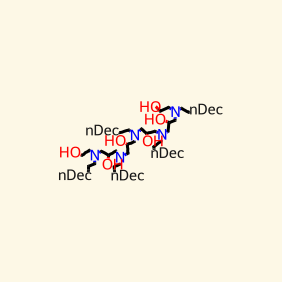 CCCCCCCCCCCCN(CCO)CC(O)CN(CCCCCCCCCCCC)CC(O)CN(CCCCCCCCCCCC)CC(O)CN(CCCCCCCCCCCC)CC(O)CN(CCO)CCCCCCCCCCCC